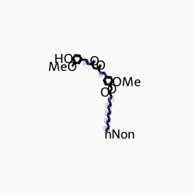 CCCCCCCCC/C=C/C=C/C=C/C=C/C=C/C(=O)Oc1ccc(/C=C/C(=O)CC(=O)/C=C/c2ccc(O)c(OC)c2)cc1OC